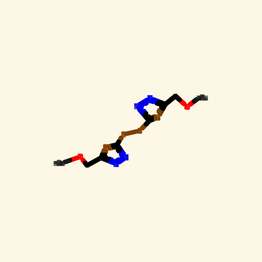 CCCCOCc1nnc(SSc2nnc(COCCCC)s2)s1